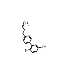 [CH2]C(C)c1ccc(F)c(-c2ccc(CCC=C)cc2)c1